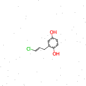 Oc1ccc(O)c(C/C=C/Cl)c1